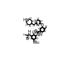 COc1c(NC(=O)c2ccc(C)c(Oc3ccnc(CC4CCCNCC4)n3)c2)cc(C(C)(C)C)cc1N[S+](C)[O-]